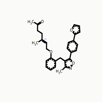 CC(=O)CC/C(C)=C/COc1ccccc1Cc1c(C)noc1-c1ccc(-c2ccco2)cc1